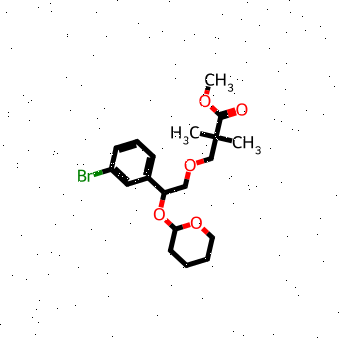 COC(=O)C(C)(C)COCC(OC1CCCCO1)c1cccc(Br)c1